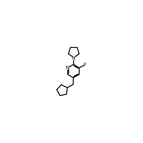 Fc1cc(CC2CCCC2)cnc1N1CCCC1